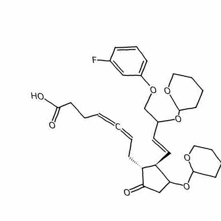 O=C(O)CCC=C=CC[C@H]1C(=O)CC(OC2CCCCO2)[C@@H]1/C=C/C(COc1cccc(F)c1)OC1CCCCO1